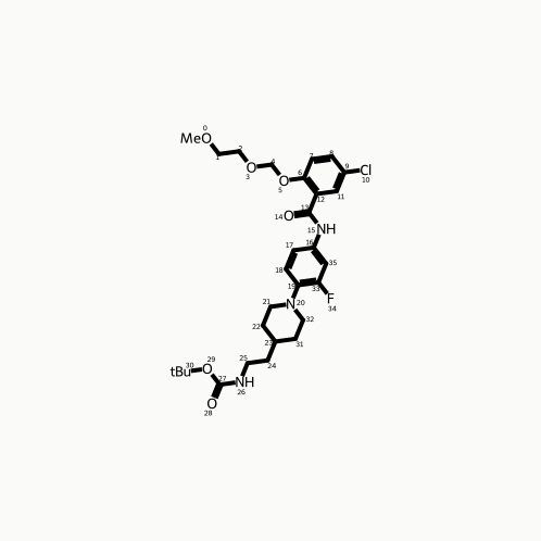 COCCOCOc1ccc(Cl)cc1C(=O)Nc1ccc(N2CCC(CCNC(=O)OC(C)(C)C)CC2)c(F)c1